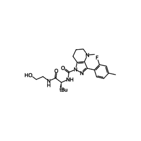 Cc1ccc(-c2nn(C(=O)N[C@H](C(=O)NCCO)C(C)(C)C)c3c2N(C)CCC3)c(F)c1